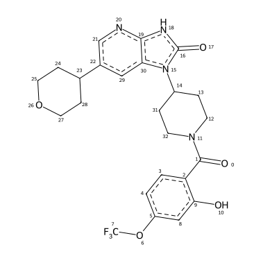 O=C(c1ccc(OC(F)(F)F)cc1O)N1CCC(n2c(=O)[nH]c3ncc(C4CCOCC4)cc32)CC1